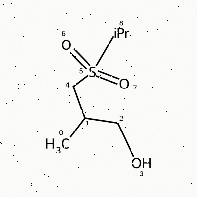 CC(CO)CS(=O)(=O)C(C)C